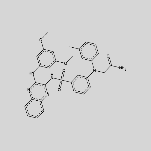 COc1cc(Nc2nc3ccccc3nc2NS(=O)(=O)c2cccc(N(CC(N)=O)c3cccc(C)c3)c2)cc(OC)c1